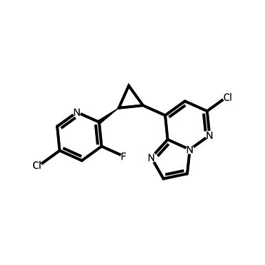 Fc1cc(Cl)cnc1[C@H]1CC1c1cc(Cl)nn2ccnc12